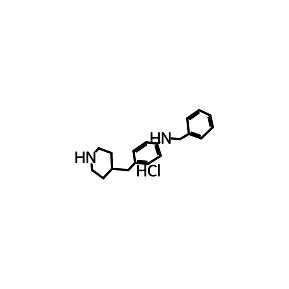 Cl.c1ccc(CNc2ccc(CC3CCNCC3)cc2)cc1